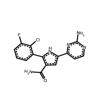 NC(=O)c1cc(-c2ccnc(N)n2)[nH]c1-c1cccc(F)c1Cl